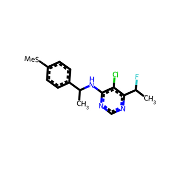 CSc1ccc(C(C)Nc2ncnc(C(C)F)c2Cl)cc1